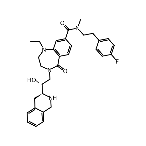 CCN1CCN(C[C@@H](O)[C@@H]2Cc3ccccc3CN2)C(=O)c2ccc(C(=O)N(C)CCc3ccc(F)cc3)cc21